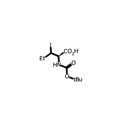 CCC(I)[C@H](NC(=O)OC(C)(C)C)C(=O)O